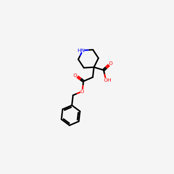 O=C(CC1(C(=O)O)CCNCC1)OCc1ccccc1